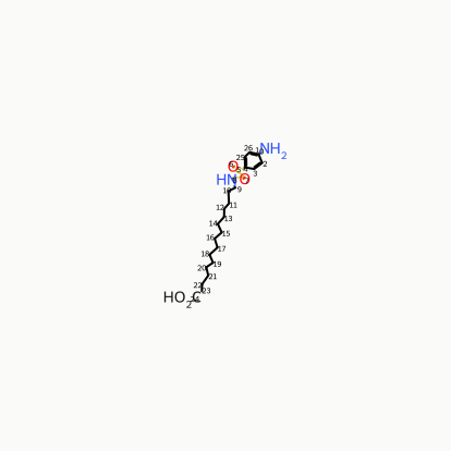 Nc1ccc(S(=O)(=O)NCCCCCCCCCCCCCCCC(=O)O)cc1